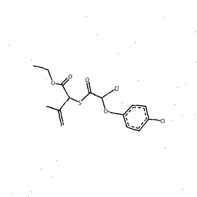 C=C(C)C(SC(=O)C(Cl)Oc1ccc(Cl)cc1)C(=O)OCC